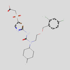 CC1CCC(N(CCOCc2ccc(F)cc2Cl)C(=O)Nc2ncc(S(=O)(=O)CC(=O)O)s2)CC1